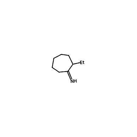 CCC1CCCCCC1=N